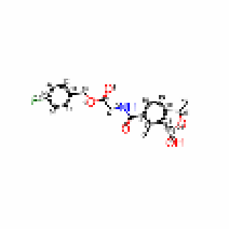 Cc1c(C(=O)NCC(=O)OCc2ccc(F)cc2)ccc2c1B(O)OC2C